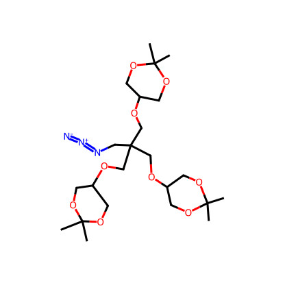 CC1(C)OCC(OCC(CN=[N+]=[N-])(COC2COC(C)(C)OC2)COC2COC(C)(C)OC2)CO1